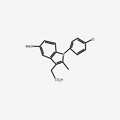 COc1ccc2c(c1)c(CC(=O)O)c(C)n2-c1ccc(Cl)cc1